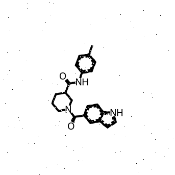 Cc1ccc(NC(=O)C2CCCN(C(=O)c3ccc4[nH]ccc4c3)C2)cc1